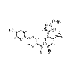 CCOc1nnc(-c2cc(C(=O)N3CCC(c4ccc(C#N)cc4)CC3)c(CC)cc2C2CC2)[nH]1